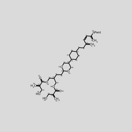 C=C(/C=C\C(=C)CCC1CCC(C2COC(CCC(COC(=O)C(=C)CO)COC(=O)C(=C)CO)OC2)CC1)CCCCC